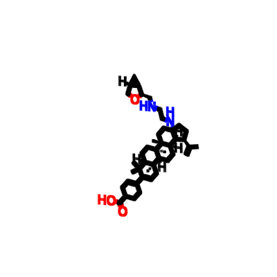 C=C(C)[C@@H]1CC[C@]2(NCCNC[C@H]3OC[C@@H]4CC43)CC[C@]3(C)[C@H](CC[C@@H]4[C@@]5(C)CC=C(C6=CCC(C(=O)O)CC6)C(C)(C)[C@@H]5CC[C@]43C)[C@@H]12